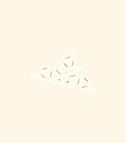 Cc1ccc2c(O)c(C(c3ccc(O)cc3)c3c(O)c4ccc(C)cc4oc3=O)c(=O)oc2c1